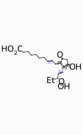 CCC(/C=C/[C@H]1[C@H](O)CC(=O)[C@@H]1C/C=C/CCCCCCC(=O)O)OO